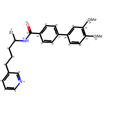 CCC(CCCc1cccnc1)NC(=O)c1ccc(-c2ccc(OC)c(OC)c2)cc1